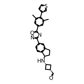 Cc1cc(-c2nc(-c3ccc4c(c3)CCC4N[C@H]3C[C@H](C=O)C3)no2)cc(C)c1-c1ccsc1